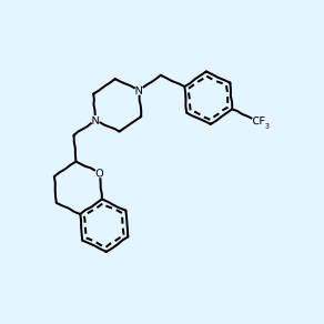 FC(F)(F)c1ccc(CN2CCN(CC3CCc4ccccc4O3)CC2)cc1